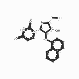 O=c1ccn([C@@H]2O[C@H](CO)[C@H](O)C2Oc2cccc3ccccc23)c(=O)[nH]1